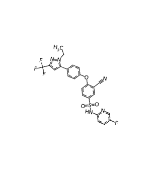 CCn1nc(C(F)(F)F)cc1-c1ccc(Oc2ccc(S(=O)(=O)Nc3ccc(F)cn3)cc2C#N)cc1